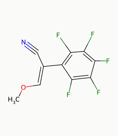 COC=C(C#N)c1c(F)c(F)c(F)c(F)c1F